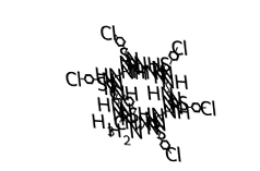 Cc1nc(NCCNc2nc(NCCNc3nc(NCCNc4nc(NCCNc5nc(NCCNc6nc(NCCN)nc(SCc7ccc(Cl)cc7)n6)nc(SCc6ccc(Cl)cc6)n5)nc(SCc5ccc(Cl)cc5)n4)nc(SCc4ccc(Cl)cc4)n3)nc(SCc3ccc(Cl)cc3)n2)nc(SCc2ccc(Cl)cc2)n1